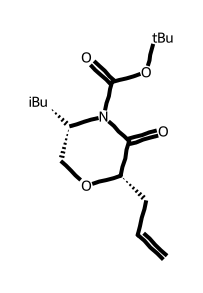 C=CC[C@@H]1OC[C@H]([C@@H](C)CC)N(C(=O)OC(C)(C)C)C1=O